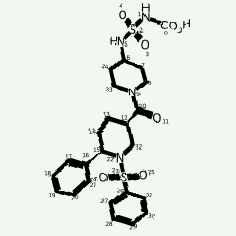 O=C(O)NS(=O)(=O)NC1CCN(C(=O)[C@@H]2CC[C@H](c3ccccc3)N(S(=O)(=O)c3ccccc3)C2)CC1